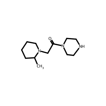 CC1CCCCN1CC(=O)N1CCNCC1